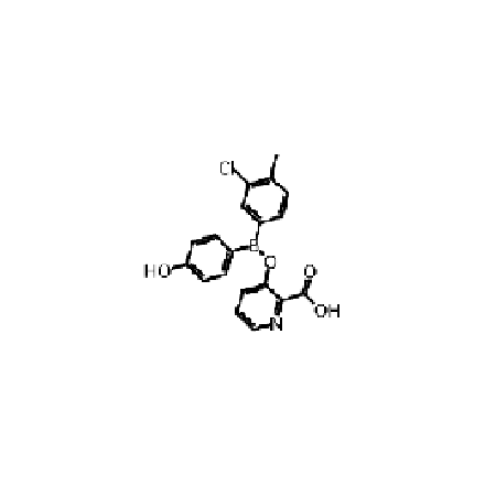 Cc1ccc(B(Oc2cccnc2C(=O)O)c2ccc(O)cc2)cc1Cl